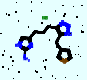 Cl.Nc1nc(CCCc2nn[nH]c2Cc2ccsc2)c[nH]1